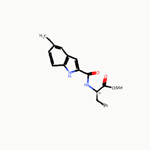 COC(=O)[C@@H](CC(C)C)NC(=O)c1cc2cc(C)ccc2[nH]1